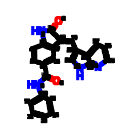 O=C1Nc2ccc(C(=O)Nc3ccccc3)cc2/C1=C\c1c[nH]c2ncccc12